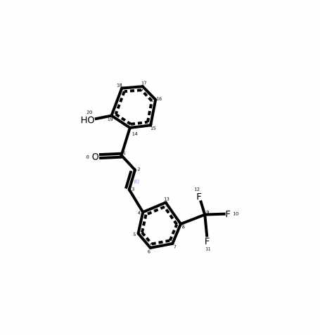 O=C(/C=C/c1cccc(C(F)(F)F)c1)c1ccccc1O